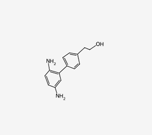 Nc1ccc(N)c(-c2ccc(CCO)cc2)c1